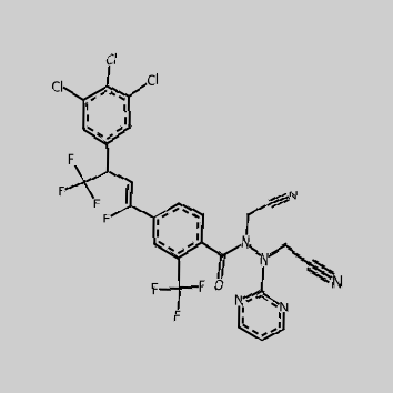 N#CCN(C(=O)c1ccc(C(F)=CC(c2cc(Cl)c(Cl)c(Cl)c2)C(F)(F)F)cc1C(F)(F)F)N(CC#N)c1ncccn1